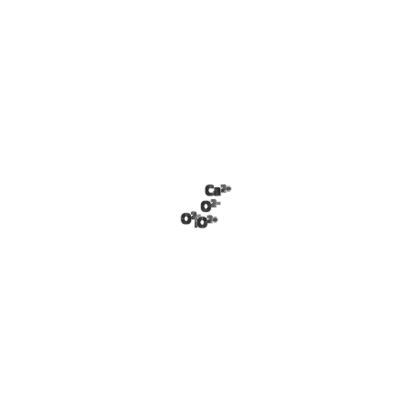 [Ca+2].[O+2].[O-2].[O-2]